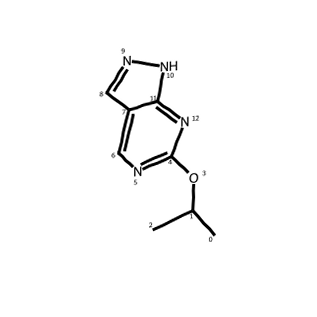 CC(C)Oc1ncc2cn[nH]c2n1